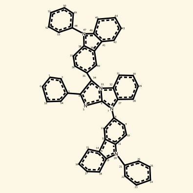 c1ccc(-c2nc3n(-c4ccc5c(c4)c4ccccc4n5-c4ccccc4)c4ccccc4n3c2-c2ccc3c(c2)c2ccccc2n3-c2ccccc2)cc1